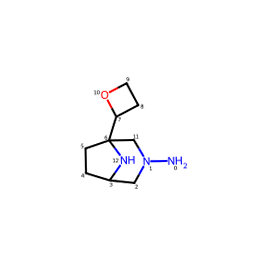 NN1CC2CCC(C3CCO3)(C1)N2